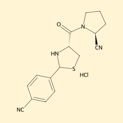 Cl.N#Cc1ccc(C2N[C@H](C(=O)N3CCC[C@H]3C#N)CS2)cc1